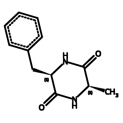 C[C@@H]1NC(=O)[C@H](Cc2ccccc2)NC1=O